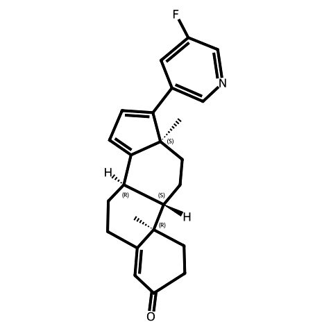 C[C@]12CC[C@H]3[C@@H](CCC4=CC(=O)CC[C@@]43C)C1=CC=C2c1cncc(F)c1